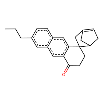 CCCc1ccc2cc3c(cc2c1)C(=O)CCC31CC2=CCC1C2